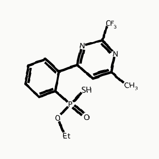 CCOP(=O)(S)c1ccccc1-c1cc(C)nc(C(F)(F)F)n1